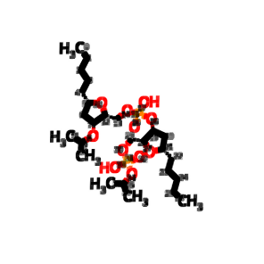 CCCCC[C@H]1C[C@@H](OC(C)C)[C@@H](COP(=O)(O)O[C@@H]2C[C@H](CCCCC)O[C@@H]2COP(=O)(O)OC(C)C)O1